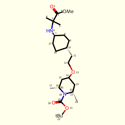 COC(=O)C(C)(C)N[C@H]1CC[C@H](CCOC2C[C@@H](C)N(C(=O)OC(C)(C)C)[C@@H](C)C2)CC1